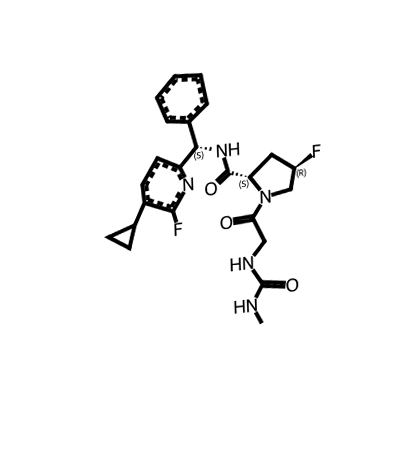 CNC(=O)NCC(=O)N1C[C@H](F)C[C@H]1C(=O)N[C@@H](c1ccccc1)c1ccc(C2CC2)c(F)n1